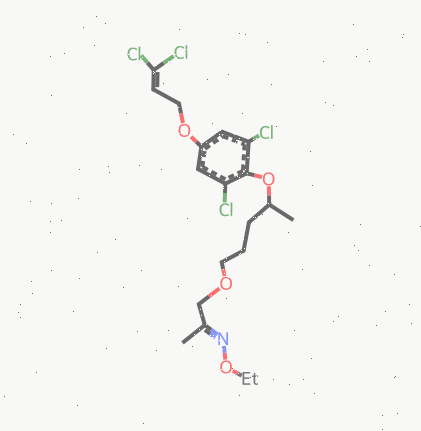 CCON=C(C)COCCCC(C)Oc1c(Cl)cc(OCC=C(Cl)Cl)cc1Cl